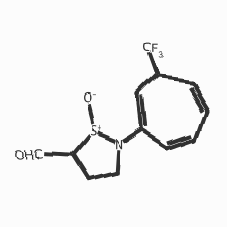 O=CC1CCN(C2=CC(C(F)(F)F)C=CC=C2)[S+]1[O-]